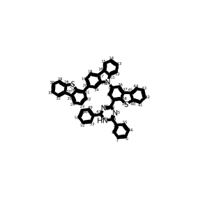 c1ccc(C2=NC(c3cc(-n4c5ccccc5c5ccc(-c6cccc7c6sc6ccccc67)cc54)cc4c3sc3ccccc34)=NC(c3ccccc3)N2)cc1